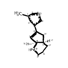 Cc1cncc(C2=C[C@@H]3NCCC[C@@H]3C2)c1